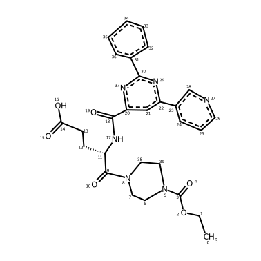 CCOC(=O)N1CCN(C(=O)[C@H](CCC(=O)O)NC(=O)c2cc(-c3cccnc3)nc(-c3ccccc3)n2)CC1